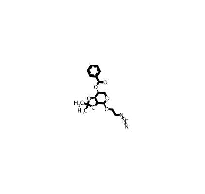 CC1(C)OC2C(O1)[C@H](OC(=O)c1ccccc1)CO[C@H]2OCCN=[N+]=[N-]